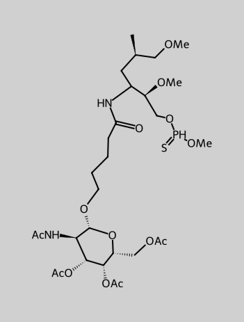 COC[C@H](C)CC(NC(=O)CCCCO[C@@H]1O[C@H](COC(C)=O)[C@H](OC(C)=O)[C@H](OC(C)=O)[C@H]1NC(C)=O)[C@H](CO[PH](=S)OC)OC